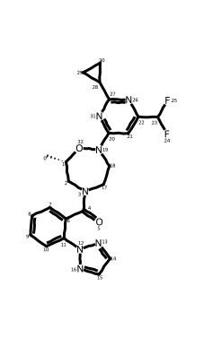 C[C@H]1CN(C(=O)c2ccccc2-n2nccn2)CCN(c2cc(C(F)F)nc(C3CC3)n2)O1